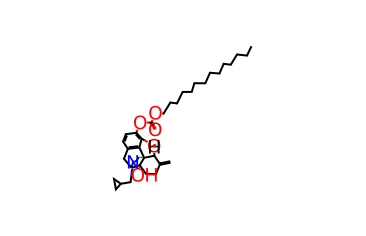 C=C1CC[C@@]2(O)C3Cc4ccc(OC(=O)OCCCCCCCCCCCCCC)c5c4[C@@]2(CCN3CC2CC2)[C@H]1O5